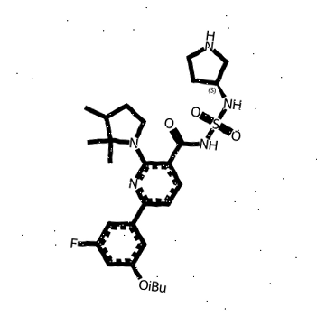 CC(C)COc1cc(F)cc(-c2ccc(C(=O)NS(=O)(=O)N[C@H]3CCNC3)c(N3CCC(C)C3(C)C)n2)c1